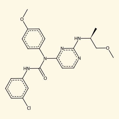 COC[C@H](C)Nc1nccc(N(C(=O)Nc2cccc(Cl)c2)c2ccc(OC)cc2)n1